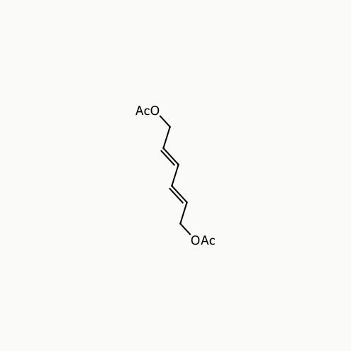 CC(=O)OCC=CC=CCOC(C)=O